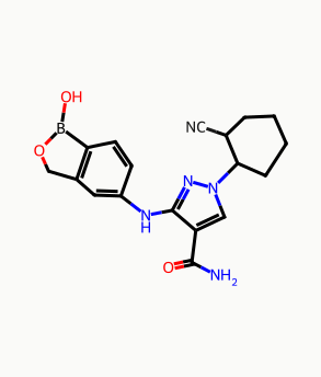 N#CC1CCCCC1n1cc(C(N)=O)c(Nc2ccc3c(c2)COB3O)n1